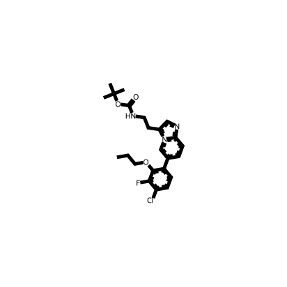 CCCOc1c(-c2ccc3ncc(CCNC(=O)OC(C)(C)C)n3c2)ccc(Cl)c1F